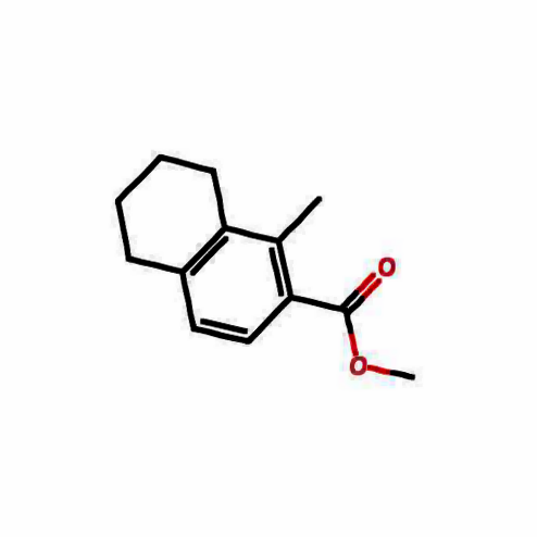 COC(=O)c1ccc2c(c1C)CCCC2